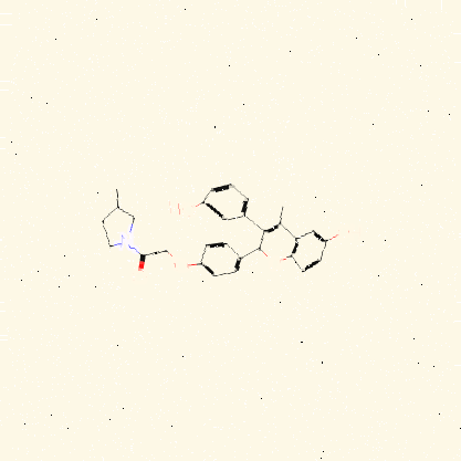 CC1=C(c2cccc(O)c2)C(c2ccc(OCC(=O)N3CCC(C)C3)cc2)Oc2ccc(O)cc21